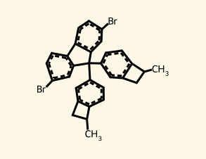 CC1Cc2cc(C3(c4ccc5c(c4)CC5C)c4cc(Br)ccc4-c4ccc(Br)cc43)ccc21